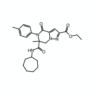 CCOC(=O)c1cc2n(n1)CC(C)(C(=O)NC1CCCCCC1)N(c1ccc(C)cc1)C2=O